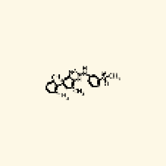 Cc1cccc(C)c1-c1cc(C)c2nc(Nc3cccc(S(C)(=O)=O)c3)nnc2c1